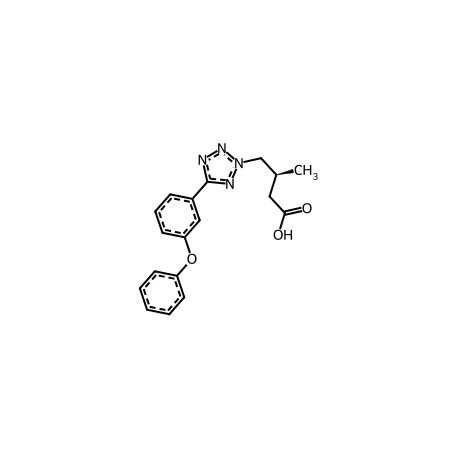 C[C@@H](CC(=O)O)Cn1nnc(-c2cccc(Oc3ccccc3)c2)n1